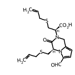 C=CCSC[C@@H](C(=O)O)N1Cc2ccc(C=O)n2[C@@H](CSCC=C)C1=O